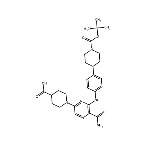 CC(C)(C)OC(=O)N1CCC(c2ccc(Nc3nc(N4CCC(C(=O)O)CC4)cnc3C(N)=O)cc2)CC1